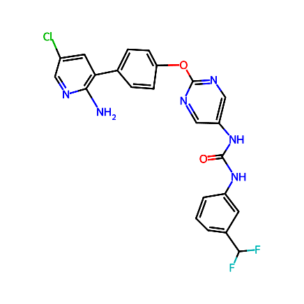 Nc1ncc(Cl)cc1-c1ccc(Oc2ncc(NC(=O)Nc3cccc(C(F)F)c3)cn2)cc1